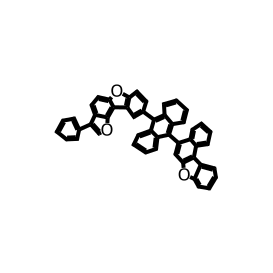 c1ccc(-c2coc3c2ccc2oc4ccc(-c5c6ccccc6c(-c6cc7oc8ccccc8c7c7ccccc67)c6ccccc56)cc4c23)cc1